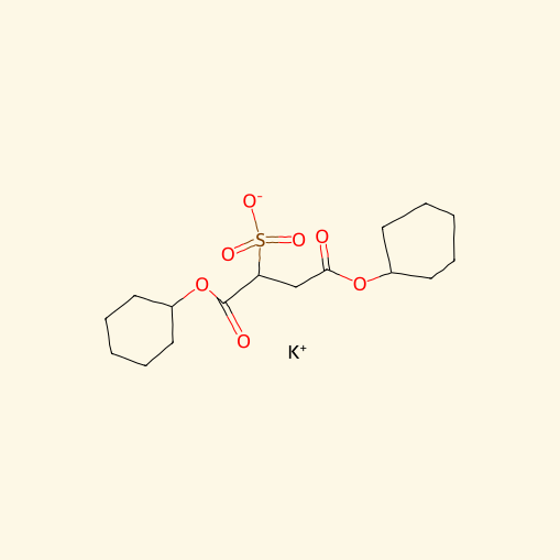 O=C(CC(C(=O)OC1CCCCC1)S(=O)(=O)[O-])OC1CCCCC1.[K+]